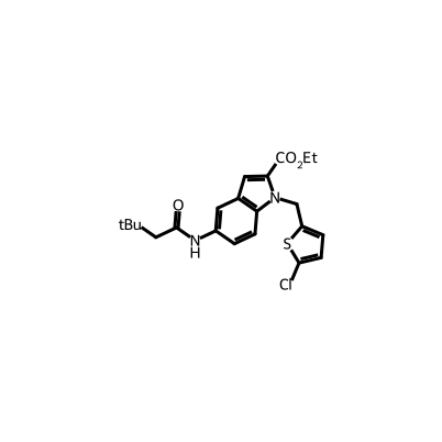 CCOC(=O)c1cc2cc(NC(=O)CC(C)(C)C)ccc2n1Cc1ccc(Cl)s1